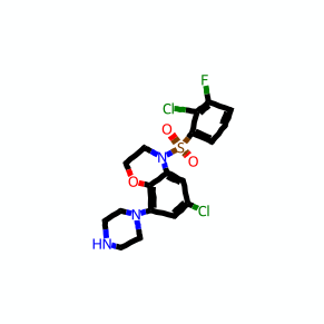 O=S(=O)(c1cccc(F)c1Cl)N1CCOc2c(N3CCNCC3)cc(Cl)cc21